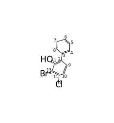 Oc1c(-c2ccccc2)ccc(Cl)c1Br